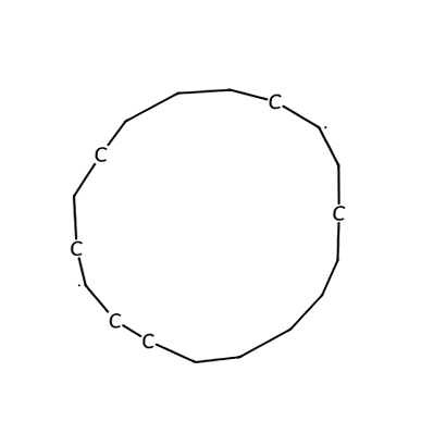 [CH]1CCCCCCC[CH]CCCCCCCCC1